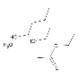 CCCCO.CCO.CCOC(C)=O.O